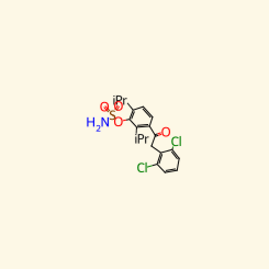 CC(C)c1ccc(C(=O)Cc2c(Cl)cccc2Cl)c(C(C)C)c1OS(N)(=O)=O